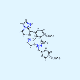 COc1ccc(CNC2CCN(c3ccn4ccnc4c3)C2c2cccc(OC)c2OC)cc1